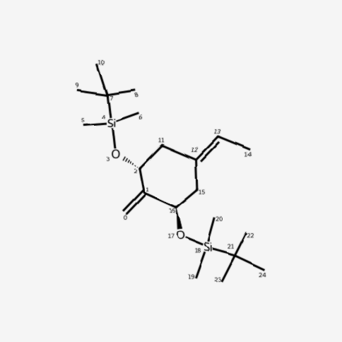 C=C1[C@H](O[Si](C)(C)C(C)(C)C)CC(=CC)C[C@H]1O[Si](C)(C)C(C)(C)C